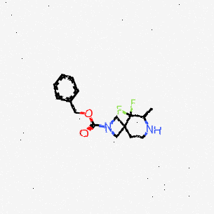 CC1NCCC2(CN(C(=O)OCc3ccccc3)C2)C1(F)F